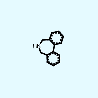 [c]1ccc2c(c1)CNCc1ccccc1-2